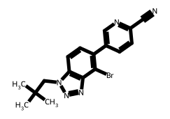 CC(C)(C)Cn1nnc2c(Br)c(-c3ccc(C#N)nc3)ccc21